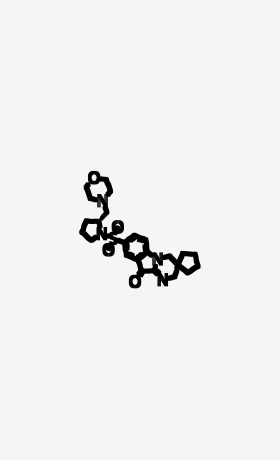 O=C1C2=NCC3(CCCC3)CN2c2ccc(S(=O)(=O)N3CCC[C@H]3CN3CCOCC3)cc21